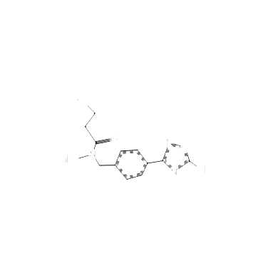 CCC(C)N(Cc1ccc(-c2noc(C(F)(F)F)n2)cc1)C(=O)CCC(C)=O